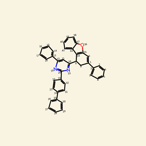 C1=C(c2ccccc2)CC(c2cc(-c3ccccc3)nc(-c3ccc(-c4ccccc4)cc3)n2)c2c1oc1ccccc21